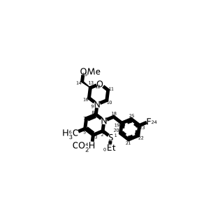 CCSC1C(C(=O)O)=C(C)C=C(N2CCO[C@H](COC)C2)N1Cc1cccc(F)c1